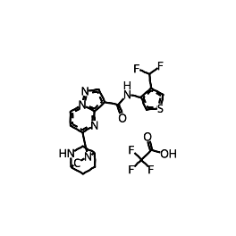 O=C(Nc1cscc1C(F)F)c1cnn2ccc(N3CC4CCC3CN4)nc12.O=C(O)C(F)(F)F